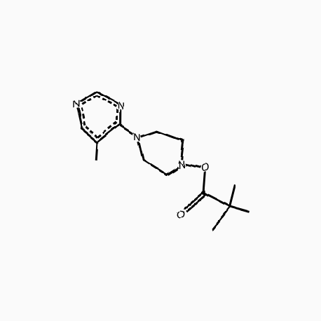 Cc1cncnc1N1CCN(OC(=O)C(C)(C)C)CC1